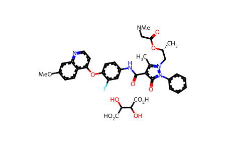 CNCC(=O)O[C@H](C)Cn1c(C)c(C(=O)Nc2ccc(Oc3ccnc4cc(OC)ccc34)c(F)c2)c(=O)n1-c1ccccc1.O=C(O)C(O)C(O)C(=O)O